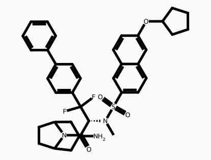 CN([C@H](C(=O)N1C2CCC1CC(N)C2)C(F)(F)c1ccc(-c2ccccc2)cc1)S(=O)(=O)c1ccc2cc(OC3CCCC3)ccc2c1